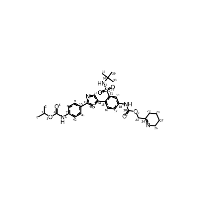 CC(C)OC(=O)Nc1ccc(-c2ncc(-c3ccc(NC(=O)OCC4=NCCCC4)cc3S(=O)(=O)NC(C)(C)C)s2)cc1